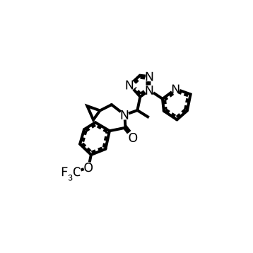 CC(c1ncnn1-c1ccccn1)N(CC1CC1)C(=O)c1cccc(OC(F)(F)F)c1